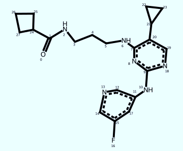 O=C(NCCCNc1nc(Nc2cncc(F)c2)ncc1C1CC1)C1CCC1